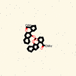 COC(=O)c1ccccc1-c1ccc2ccccc2c1OC(=O)Oc1c(-c2ccccc2C(=O)OC)ccc2ccccc12